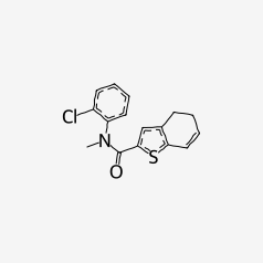 CN(C(=O)c1cc2c(s1)C=CCC2)c1ccccc1Cl